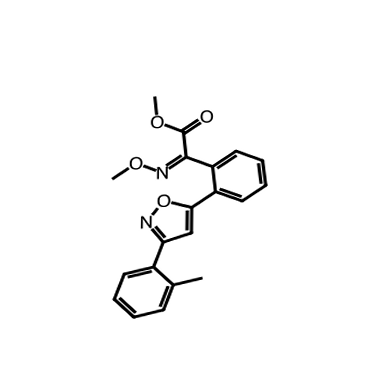 CON=C(C(=O)OC)c1ccccc1-c1cc(-c2ccccc2C)no1